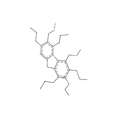 CCCc1[c]c2c(c(CCC)c1CCC)-c1c(CCC)c(CCC)c(CCC)c(CCC)c1C2